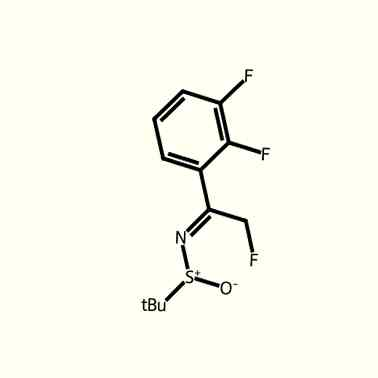 CC(C)(C)[S+]([O-])/N=C(\CF)c1cccc(F)c1F